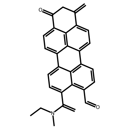 C=C1CC(=O)c2ccc3c4ccc(C(=C)N(C)CC)c5c(C=O)ccc(c6ccc1c2c63)c54